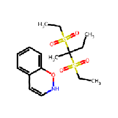 C1=Cc2ccccc2ON1.CCC(C)(S(=O)(=O)CC)S(=O)(=O)CC